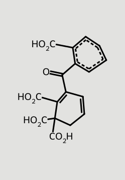 O=C(O)C1=C(C(=O)c2ccccc2C(=O)O)C=CCC1(C(=O)O)C(=O)O